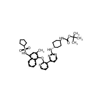 Cc1cc(NS(=O)(=O)C2CCCC2)c2ccccc2c1Oc1ncccc1-c1ccnc(N[C@H]2CC[C@H](NC(=O)OC(C)(C)C)CC2)n1